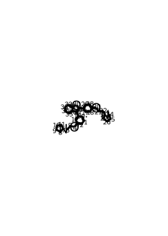 [c]1ccc(OCCN2CCCC2)cc1-c1c(-c2ccc(OCCN3CCCC3)cc2)oc2ccccc12